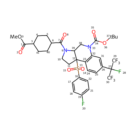 COC(=O)C1CCC(C(=O)N2CCC3(S(=O)(=O)c4ccc(F)cc4)c4ccc(C(F)(C(F)(F)F)C(F)(F)F)cc4N(C(=O)OC(C)(C)C)CC23)CC1